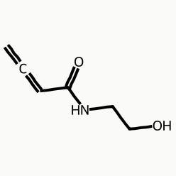 C=C=CC(=O)NCCO